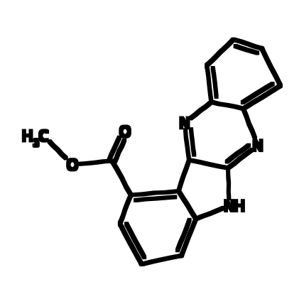 COC(=O)c1cccc2[nH]c3nc4ccccc4nc3c12